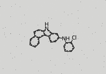 Clc1ccccc1Nc1ccc2c(c1)[nH]c1ccc3ccccc3c12